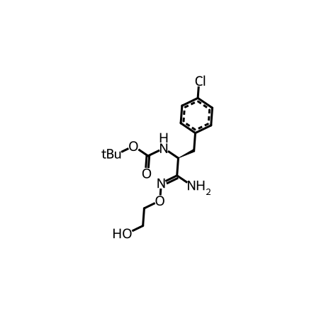 CC(C)(C)OC(=O)N[C@@H](Cc1ccc(Cl)cc1)/C(N)=N/OCCO